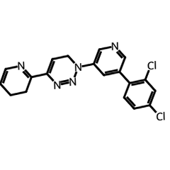 Clc1ccc(-c2cncc(N3CC=C(C4=NC=CCC4)N=N3)c2)c(Cl)c1